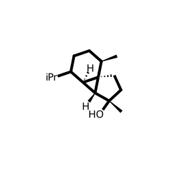 CC(C)C1CC[C@@H](C)[C@@]23CC[C@](C)(O)[C@@H]2[C@@H]13